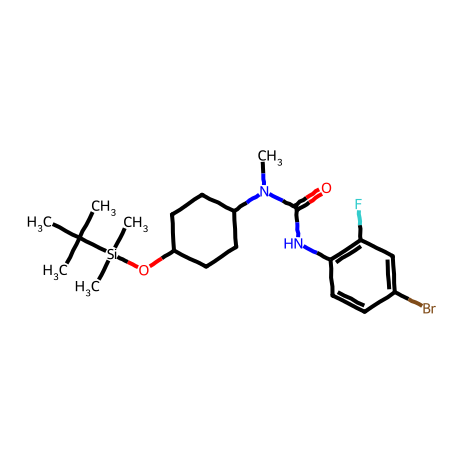 CN(C(=O)Nc1ccc(Br)cc1F)C1CCC(O[Si](C)(C)C(C)(C)C)CC1